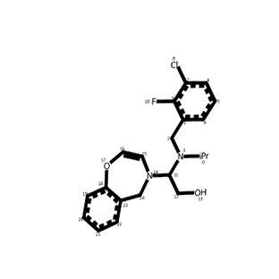 CC(C)N(Cc1cccc(Cl)c1F)C(CO)N1C=COc2ccccc2C1